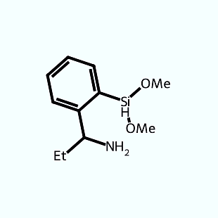 CCC(N)c1ccccc1[SiH](OC)OC